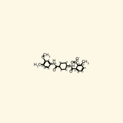 COc1cc(NC(=O)C2CCC(NC(=O)c3cccc(C)c3[N+](=O)[O-])CC2)ccc1C